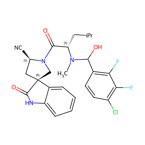 CC(C)C[C@@H](C(=O)N1C[C@]2(C[C@H]1C#N)C(=O)Nc1ccccc12)N(C)C(O)c1ccc(Cl)c(F)c1F